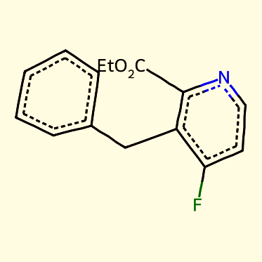 CCOC(=O)c1nccc(F)c1Cc1ccccc1